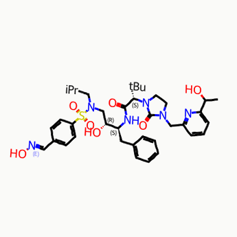 CC(C)CN(C[C@@H](O)[C@H](Cc1ccccc1)NC(=O)[C@@H](N1CCN(Cc2cccc(C(C)O)n2)C1=O)C(C)(C)C)S(=O)(=O)c1ccc(/C=N/O)cc1